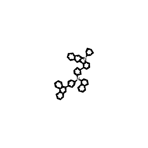 c1ccc(-n2c3cc4ccccc4cc3c3c(-c4cccc(N(c5ccc(-c6cc7ccccc7c7ccccc67)cc5)c5cccc6ccccc56)c4)cccc32)cc1